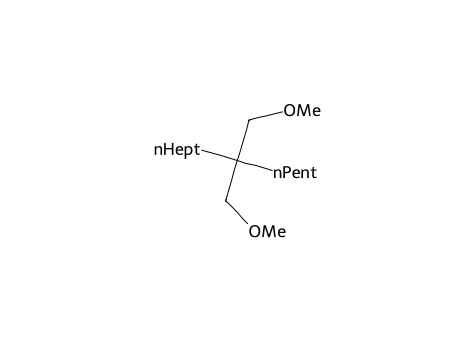 CCCCCCCC(CCCCC)(COC)COC